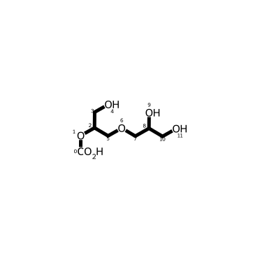 O=C(O)OC(CO)COCC(O)CO